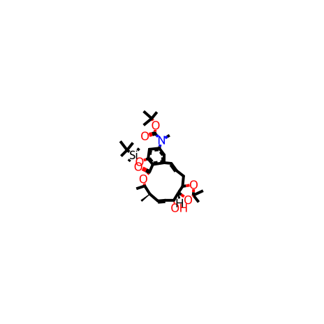 CC1OC(=O)c2c(cc(N(C)C(=O)OC(C)(C)C)cc2O[Si](C)(C)C(C)(C)C)/C=C/CC2OC(C)(C)O[C@@H]2[C@H](O)/C=C\[C@H]1C